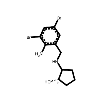 Nc1c(Br)cc(Br)cc1CNC1CCC[C@@H]1O